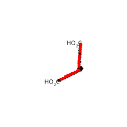 O=C(O)CCCCCCCC=CCC=CCCCCCCc1cccc(CCCCCCC=CCC=CCCCCCCCC(=O)O)c1